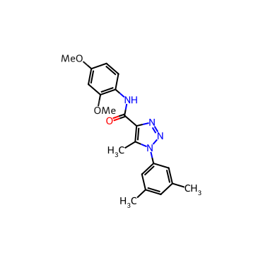 COc1ccc(NC(=O)c2nnn(-c3cc(C)cc(C)c3)c2C)c(OC)c1